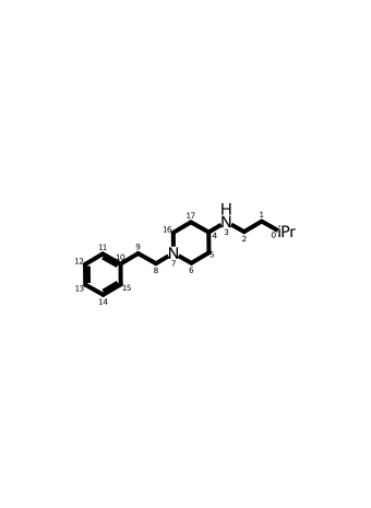 CC(C)CCNC1CCN(CCc2ccccc2)CC1